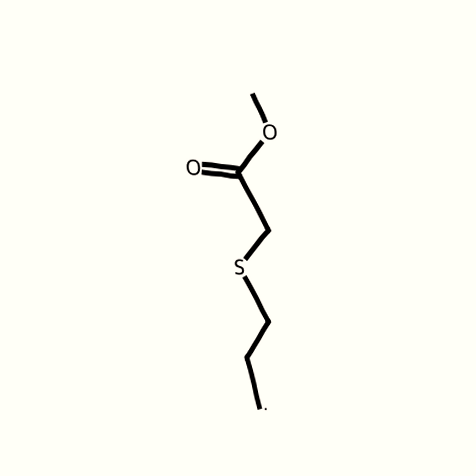 [CH2]CCSCC(=O)OC